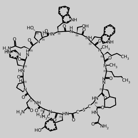 CCCC[C@H]1C(=O)N(C)[C@@H](CCCC)C(=O)N[C@@H](CC2CCCCC2)C(=O)N[C@H](C(=O)NCC(N)=O)CSCC(=O)N[C@@H](Cc2ccc(O)cc2)C(=O)N(C)[C@@H](C)C(=O)N[C@@H](CC(N)=O)C(=O)N2CCC[C@H]2C(=O)N[C@@H](Cc2c[nH]cn2)C(=O)N[C@@H](CCC(N)=O)C(=O)N2C[C@H](O)C[C@H]2C(=O)N[C@@H](Cc2c[nH]c3ccccc23)C(=O)N[C@@H](CO)C(=O)N[C@@H](Cc2c[nH]c3ccccc23)C(=O)N1C